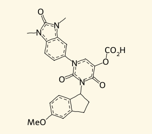 COc1ccc2c(c1)CCC2n1c(=O)c(OC(=O)O)cn(-c2ccc3c(c2)n(C)c(=O)n3C)c1=O